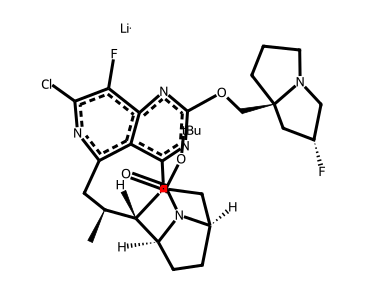 C[C@H]1Cc2nc(Cl)c(F)c3nc(OC[C@@]45CCCN4C[C@H](F)C5)nc(c23)N2C[C@H]3CC[C@@H]([C@H]12)N3C(=O)OC(C)(C)C.[Li]